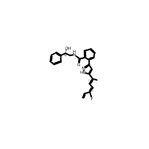 C=C/C(F)=C\C=C(/C)c1cc(-c2ccccc2C(=O)NC[C@@H](O)c2ccccc2)n[nH]1